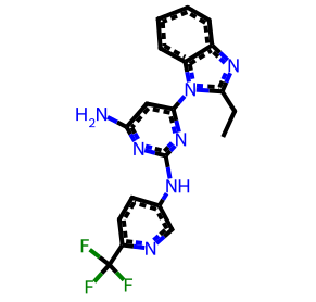 CCc1nc2ccccc2n1-c1cc(N)nc(Nc2ccc(C(F)(F)F)nc2)n1